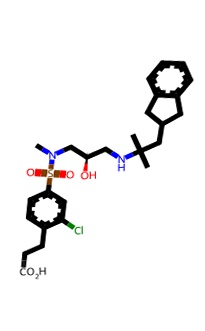 CN(C[C@H](O)CNC(C)(C)CC1Cc2ccccc2C1)S(=O)(=O)c1ccc(CCC(=O)O)c(Cl)c1